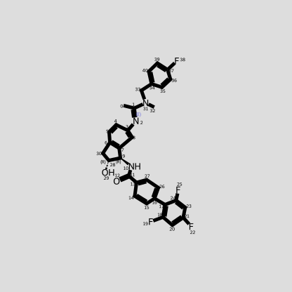 C/C(=N\c1ccc2c(c1)[C@@H](NC(=O)c1ccc(-c3c(F)cc(F)cc3F)cc1)[C@H](O)C2)N(C)Cc1ccc(F)cc1